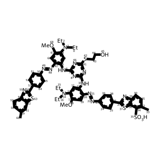 CCN(CC)c1cc(Nc2nc(Nc3cc(N(CC)CC)c(OC)cc3/N=N/c3ccc(-c4nc5ccc(C)c(S(=O)(=O)O)c5s4)cc3)nc(SCCO)n2)c(/N=N/c2ccc(-c3nc4ccc(C)cc4s3)cc2)cc1OC